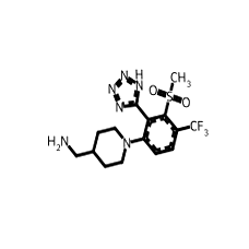 CS(=O)(=O)c1c(C(F)(F)F)ccc(N2CCC(CN)CC2)c1-c1nnn[nH]1